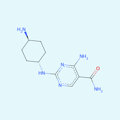 NC(=O)c1cnc(N[C@H]2CC[C@H](N)CC2)nc1N